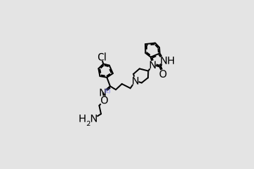 NCCO/N=C(\CCCN1CCC(n2c(=O)[nH]c3ccccc32)CC1)c1ccc(Cl)cc1